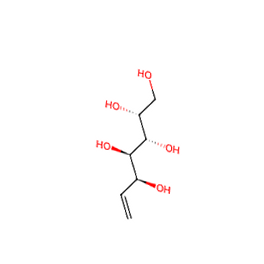 C=C[C@H](O)[C@@H](O)[C@@H](O)[C@H](O)CO